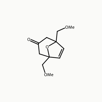 COCC12C=CC(COC)(CC(=O)C1)O2